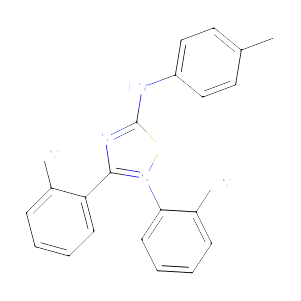 COc1ccccc1-c1nc(Nc2ccc(C)cc2)s[n+]1-c1ccccc1OC